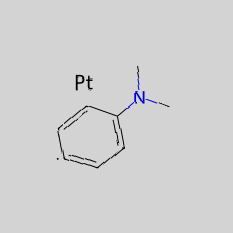 CN(C)c1cc[c]cc1.[Pt]